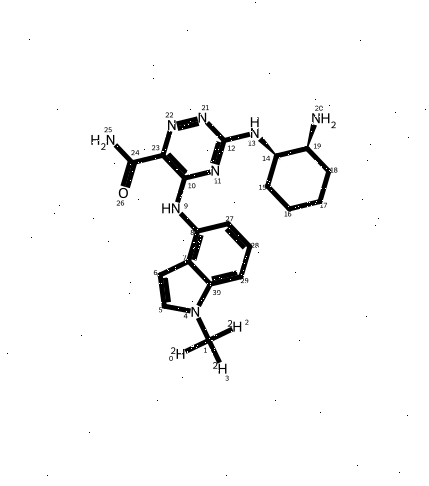 [2H]C([2H])([2H])n1ccc2c(Nc3nc(N[C@@H]4CCCC[C@@H]4N)nnc3C(N)=O)cccc21